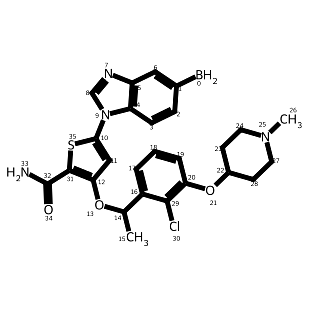 Bc1ccc2c(c1)ncn2-c1cc(OC(C)c2cccc(OC3CCN(C)CC3)c2Cl)c(C(N)=O)s1